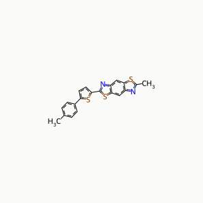 Cc1ccc(-c2ccc(-c3nc4cc5sc(C)nc5cc4s3)s2)cc1